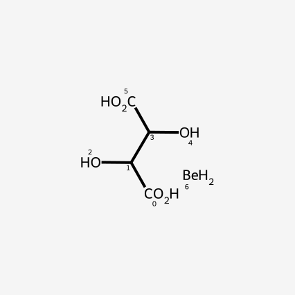 O=C(O)C(O)C(O)C(=O)O.[BeH2]